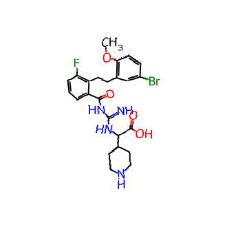 COc1ccc(Br)cc1CCc1c(F)cccc1C(=O)NC(=N)NC(C(=O)O)C1CCNCC1